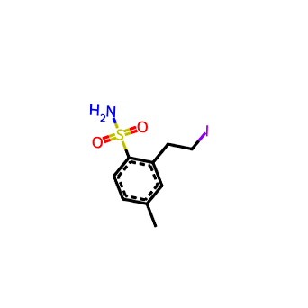 Cc1ccc(S(N)(=O)=O)c(CCI)c1